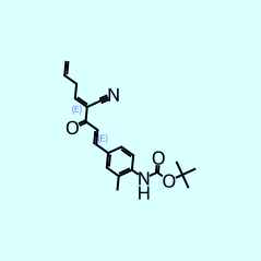 C=CC/C=C(\C#N)C(=O)/C=C/c1ccc(NC(=O)OC(C)(C)C)c(C)c1